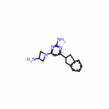 Nc1nc(C2Cc3ccccc3C2)cc(N2CC(N)C2)n1